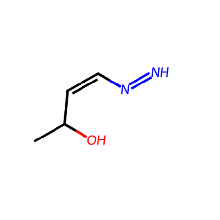 CC(O)/C=C\N=N